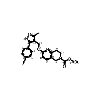 Cc1onc(-c2ccc(F)cc2)c1COc1ccc2c(n1)CCN(C(=O)OC(C)(C)C)C2